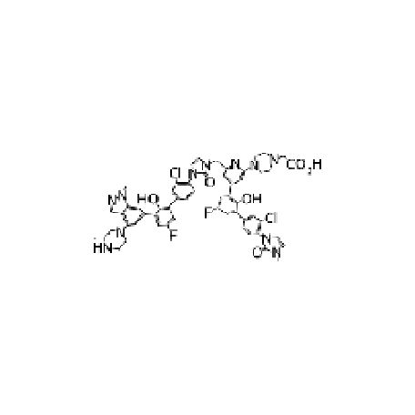 C[C@@H]1CN(c2cc(-c3cc(F)cc(-c4ccc(-n5ccn(Cc6cc(-c7cc(F)cc(-c8ccc(-n9ccn(C)c9=O)c(Cl)c8)c7O)cc(N7CCN(CC(=O)O)CC7)n6)c5=O)c(Cl)c4)c3O)cc3c2cnn3C)CCN1